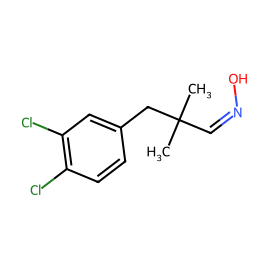 CC(C)(/C=N\O)Cc1ccc(Cl)c(Cl)c1